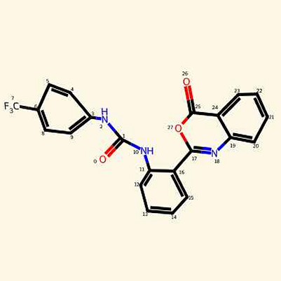 O=C(Nc1ccc(C(F)(F)F)cc1)Nc1ccccc1-c1nc2ccccc2c(=O)o1